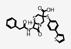 O=C(Cc1ccccc1)N[C@@H]1C(=O)N2CC(Sc3ccc(-c4cccs4)cc3)(C(=O)O)CS[C@H]12